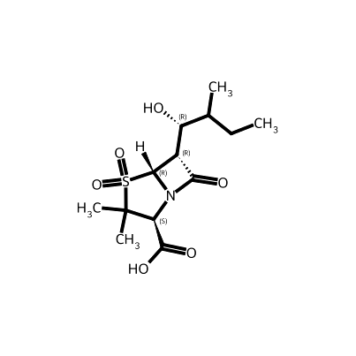 CCC(C)[C@@H](O)[C@@H]1C(=O)N2[C@@H](C(=O)O)C(C)(C)S(=O)(=O)[C@H]12